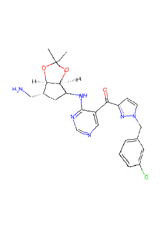 CC1(C)O[C@@H]2[C@@H](CN)CC(Nc3ncncc3C(=O)c3ccn(Cc4cccc(Cl)c4)n3)[C@@H]2O1